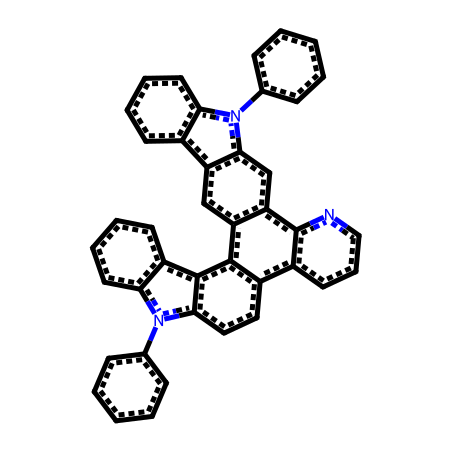 c1ccc(-n2c3ccccc3c3cc4c(cc32)c2ncccc2c2ccc3c(c5ccccc5n3-c3ccccc3)c24)cc1